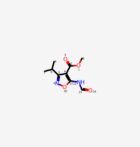 COC(=O)c1c(C(C)C)noc1NC=O